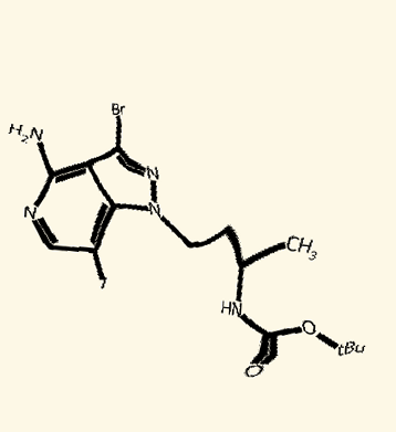 CC(CCn1nc(Br)c2c(N)ncc(I)c21)NC(=O)OC(C)(C)C